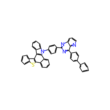 c1ccc(-c2ccc(-c3nc(-c4ccc(-n5c6ccccc6c6c7c8ccccc8sc7c7ccccc7c65)cc4)nc4cccnc34)cc2)cc1